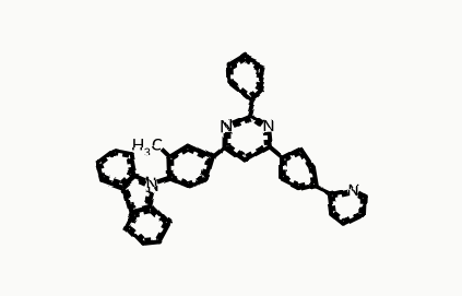 Cc1cc(-c2cc(-c3ccc(-c4ccccn4)cc3)nc(-c3ccccc3)n2)ccc1-n1c2ccccc2c2ccccc21